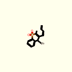 C=C/C=C\C1=C(C)S(=O)(=O)c2ccccc2C1C(C)C